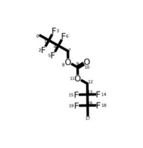 CC(F)(F)C(F)(F)COC(=O)OCC(F)(F)C(C)(F)F